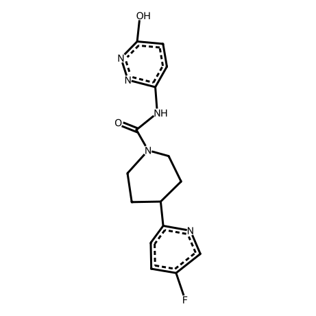 O=C(Nc1ccc(O)nn1)N1CCC(c2ccc(F)cn2)CC1